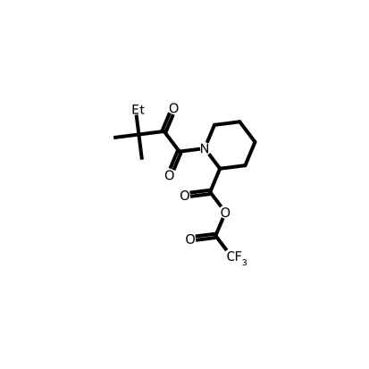 CCC(C)(C)C(=O)C(=O)N1CCCCC1C(=O)OC(=O)C(F)(F)F